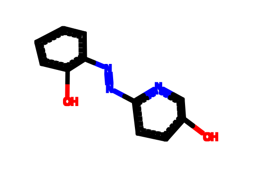 Oc1ccc(N=Nc2ccccc2O)nc1